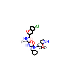 CC(C)[C@H](NC(=O)C1=Cc2cc(Cl)ccc2OC1)C(=O)N[C@@H](CC1CCCCC1)C(=O)N[C@H](C=O)C[C@@H]1CCNC1=O